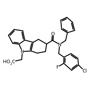 O=C(O)Cn1c2c(c3ccccc31)CC(C(=O)N(Cc1ccccc1)Cc1ccc(Cl)cc1F)CC2